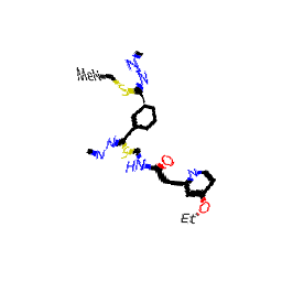 C=N/N=C(\SCNC(=O)Cc1cc(OCC)ccn1)C1CCC[C@H](/C(=N/N=C)SCNC)C1